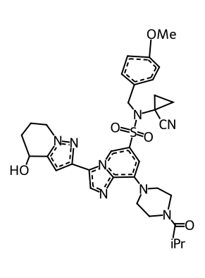 COc1ccc(CN(C2(C#N)CC2)S(=O)(=O)c2cc(N3CCN(C(=O)C(C)C)CC3)c3ncc(-c4cc5n(n4)CCCC5O)n3c2)cc1